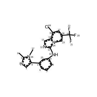 Cc1ncc(-c2cccc(Nc3ncc4c(Cl)cc(C(F)(F)F)cn34)c2)n1C